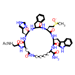 CC(=O)NCC(=O)NC1CC(=O)NCCCCC(C(N)=O)NC(=O)[C@H](Cc2c[nH]c3ccccc23)NC(=O)[C@H](CC[S+](C)[O-])NC(=O)C(Cc2ccccc2)NC(=O)[C@H](Cc2c[nH]cn2)NC1=O